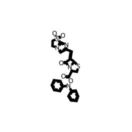 O=C(ON(c1ccccc1)c1ccccc1)C1CSC2C(=Cc3cn4c(n3)S(=O)(=O)CC4)C(=O)N12